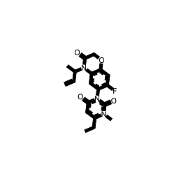 C=CC(C)N1C(=O)COc2cc(F)c(-n3c(=O)cc(CC)n(C)c3=O)cc21